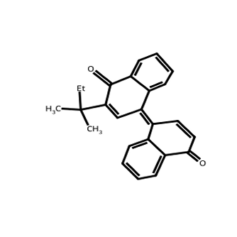 CCC(C)(C)C1=C/C(=C2/C=CC(=O)c3ccccc32)c2ccccc2C1=O